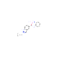 Nc1ccccc1NC(=O)c1ccc2nn(CC3CC3)cc2c1